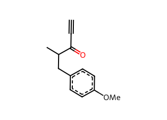 C#CC(=O)C(C)Cc1ccc(OC)cc1